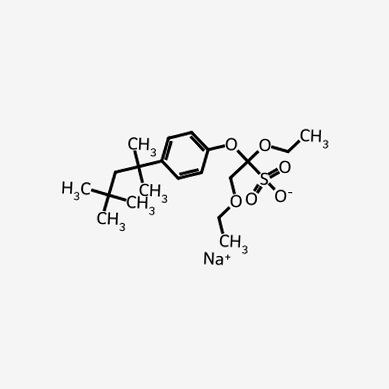 CCOCC(OCC)(Oc1ccc(C(C)(C)CC(C)(C)C)cc1)S(=O)(=O)[O-].[Na+]